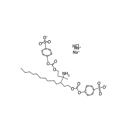 CCCCCCCCCCC(CCOC(=O)Oc1ccc(S(=O)(=O)[O-])cc1)C(C)(N)CCOC(=O)Oc1ccc(S(=O)(=O)[O-])cc1.Cl.[Na+].[Na+]